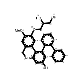 COc1cc(CNC(C)=O)c(-c2ccc(Cl)cc2-c2cccnc2-c2ccccc2)cc1OCC(O)CO